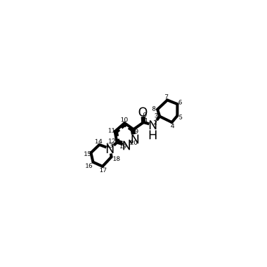 O=C(NC1CCCCC1)c1ccc(N2CCCCC2)nn1